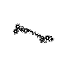 CC1(C)OCc2cc(C(CNCCCCCCCCCN3CCC(OC(=O)Nc4ccccc4-c4ccccc4)CC3)O[Si](C)(C)C(C)(C)C)ccc2O1